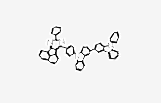 c1ccc(-c2nc(-c3ccc(-n4c5ccccc5c5cc(-c6ccc7c(c6)c6ccccc6n7-c6ccccc6)ccc54)cc3)c3c(n2)-c2cccc4cccc-3c24)cc1